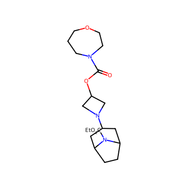 CCOC(=O)N1C2CCC1CC(N1CC(OC(=O)N3CCCOCC3)C1)C2